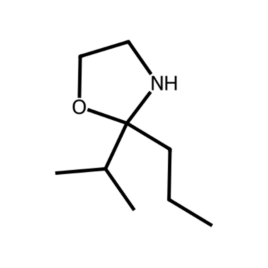 CCCC1(C(C)C)NCCO1